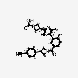 Cc1ccc(C(=O)N2CC(c3ccc(C#N)cc3)C2)cc1-c1[nH]c(C2CN(C(=O)O)C2)nc1C